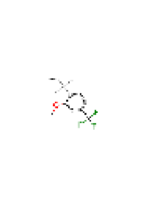 CCC(C)(C)c1ccc(C(F)(F)F)cc1OC